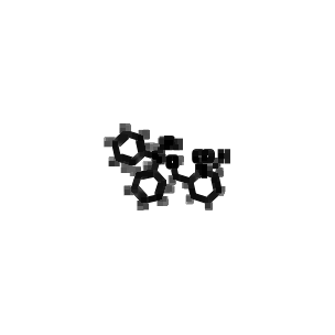 CC(C)(C)[Si](OCC1CCC=CN1C(=O)O)(c1ccccc1)c1ccccc1